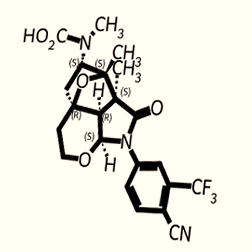 CN(C(=O)O)[C@H]1C[C@@]23CCO[C@H]4[C@@H]2[C@](C)(C(=O)N4c2ccc(C#N)c(C(F)(F)F)c2)[C@]1(C)O3